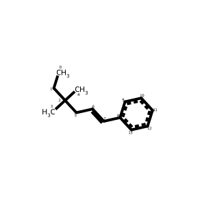 CCC(C)(C)CC=Cc1ccccc1